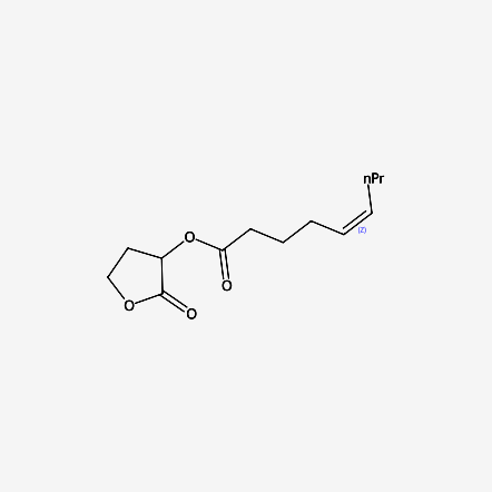 CCC/C=C\CCCC(=O)OC1CCOC1=O